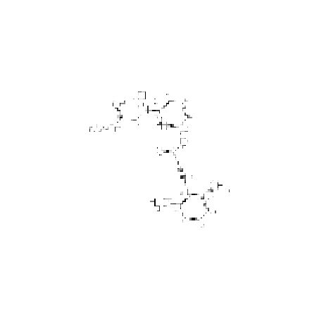 COC(=O)CN(C)c1cccc(OC(=O)C#Cc2c(C)cccc2C)n1